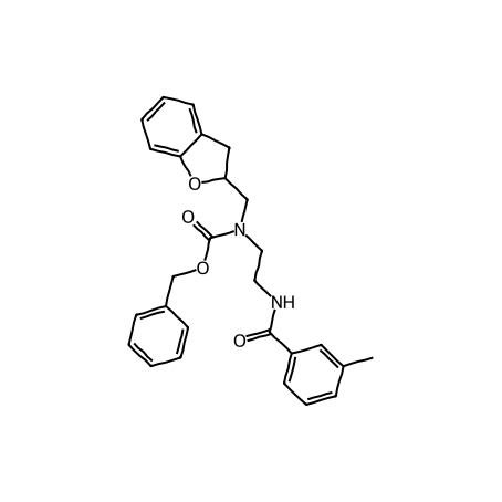 Cc1cccc(C(=O)NCCN(CC2Cc3ccccc3O2)C(=O)OCc2ccccc2)c1